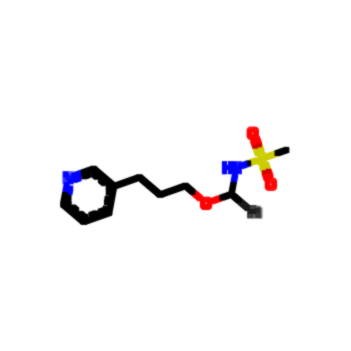 [CH2]CC(NS(C)(=O)=O)OCCCc1cccnc1